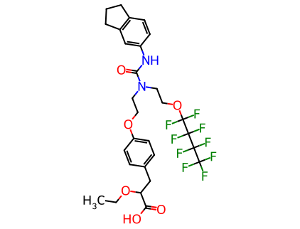 CCOC(Cc1ccc(OCCN(CCOC(F)(F)C(F)(F)C(F)(F)C(F)(F)F)C(=O)Nc2ccc3c(c2)CCC3)cc1)C(=O)O